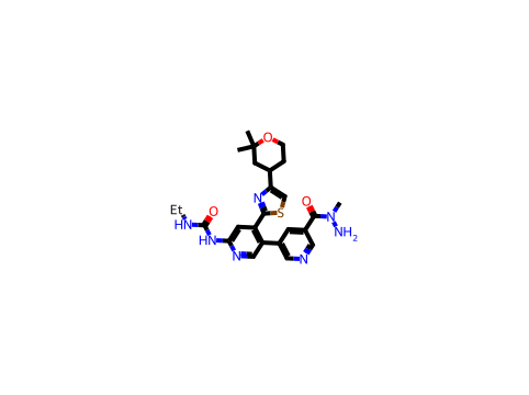 CCNC(=O)Nc1cc(-c2nc(C3CCOC(C)(C)C3)cs2)c(-c2cncc(C(=O)N(C)N)c2)cn1